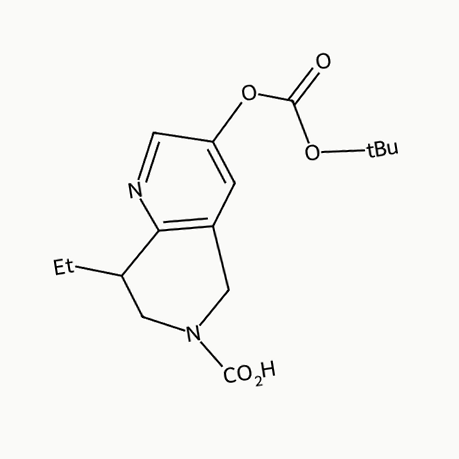 CCC1CN(C(=O)O)Cc2cc(OC(=O)OC(C)(C)C)cnc21